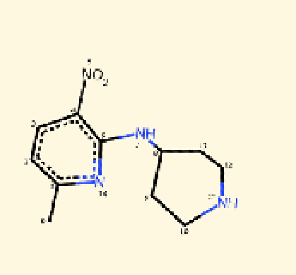 Cc1ccc([N+](=O)[O-])c(NC2CCNCC2)n1